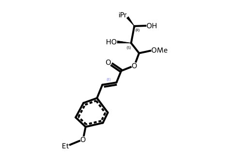 CCOc1ccc(/C=C/C(=O)OC(OC)[C@@H](O)[C@H](O)C(C)C)cc1